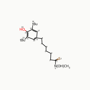 CN(O)C(=S)CCCCCCc1cc(C(C)(C)C)c(O)c(C(C)(C)C)c1